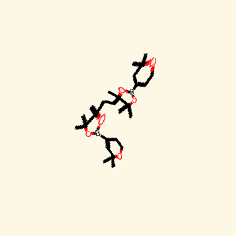 CC1(C)C=C(B2OC(C)(C)C(C)(CCC3(C)OB(C4=CCOC(C)(C)C4)OC3(C)C)O2)CCO1